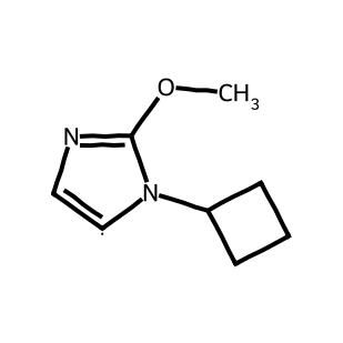 COc1nc[c]n1C1CCC1